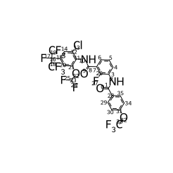 O=C(Nc1cccc(C(=O)Nc2c(Cl)cc(C(F)(C(F)(F)F)C(F)(F)F)cc2OC(F)F)c1F)c1ccc(OC(F)(F)F)cc1